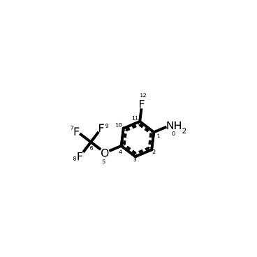 Nc1ccc(OC(F)(F)F)cc1F